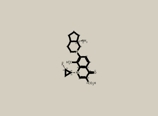 Cc1c(N2CCC3CCC[C@@]3(N)C2)ccc2c(=O)c(C(=O)O)cn([C@@H]3C[C@@H]3F)c12